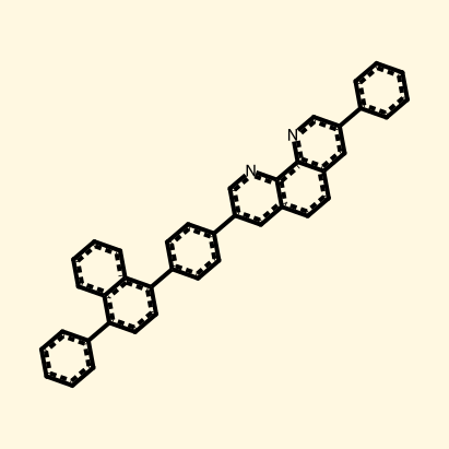 c1ccc(-c2cnc3c(ccc4cc(-c5ccc(-c6ccc(-c7ccccc7)c7ccccc67)cc5)cnc43)c2)cc1